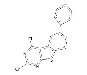 Clc1nc(Cl)c2c(n1)sc1ccc(-c3ccccc3)cc12